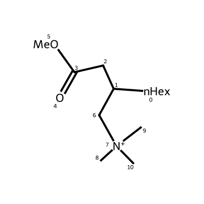 CCCCCCC(CC(=O)OC)C[N+](C)(C)C